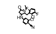 CCN1C(=O)C[C@H](Nc2ccc(C#N)c(Cl)c2)C1Cc1c(F)ccc(F)c1Cl